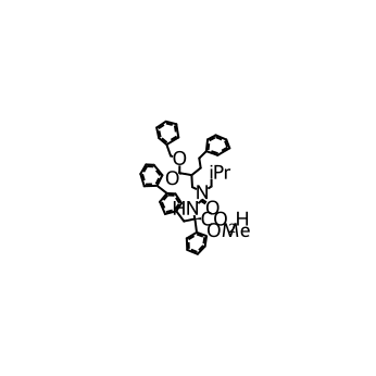 COc1ccccc1[C@](Cc1ccc(-c2ccccc2)cc1)(NC(=O)N(CC(C)C)CC(CCc1ccccc1)C(=O)OCc1ccccc1)C(=O)O